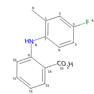 Cc1cc(F)ccc1Nc1ccccc1C(=O)O